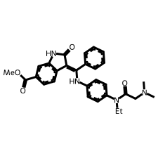 CCN(C(=O)CN(C)C)c1ccc(N/C(=C2/C(=O)Nc3cc(C(=O)OC)ccc32)c2ccccc2)cc1